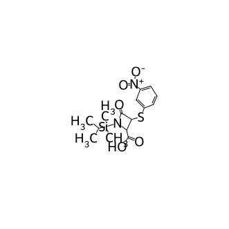 CC(C)[Si](C)(C)N1C(=O)C(Sc2cccc([N+](=O)[O-])c2)C1C(=O)O